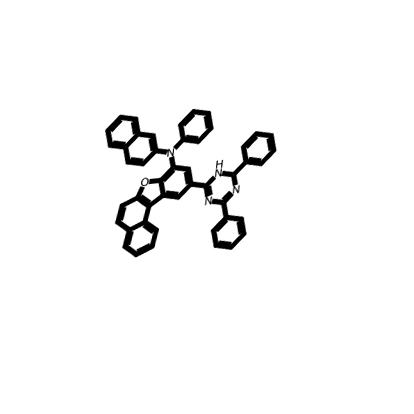 c1ccc(C2=NC(c3ccccc3)NC(c3cc(N(c4ccccc4)c4ccc5ccccc5c4)c4oc5ccc6ccccc6c5c4c3)=N2)cc1